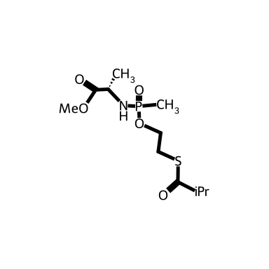 COC(=O)[C@H](C)NP(C)(=O)OCCSC(=O)C(C)C